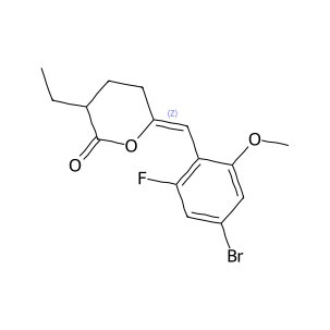 CCC1CC/C(=C/c2c(F)cc(Br)cc2OC)OC1=O